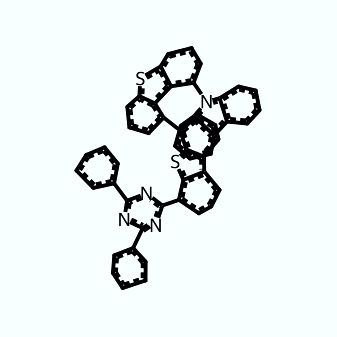 c1ccc(-c2nc(-c3ccccc3)nc(-c3cccc4c3sc3c(-c5cccc6sc7cccc(-n8c9ccccc9c9ccccc98)c7c56)cccc34)n2)cc1